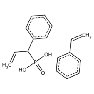 C=CC(c1ccccc1)P(=O)(O)O.C=Cc1ccccc1